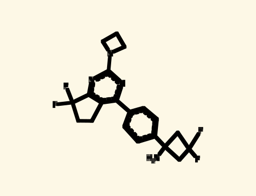 NC1(c2ccc(-c3nc(N4CCC4)nc4c3CCC4(F)F)cc2)CC(F)(F)C1